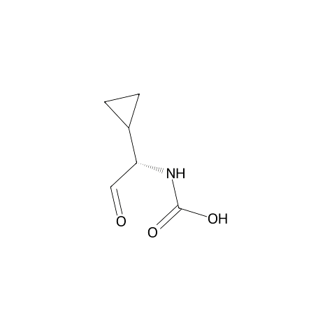 O=C[C@@H](NC(=O)O)C1CC1